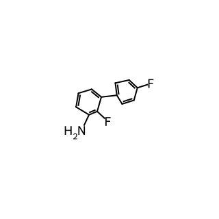 Nc1cccc(-c2ccc(F)cc2)c1F